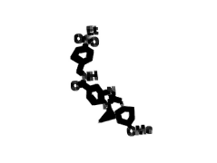 CCS(=O)(=O)c1ccc(CNC(=O)c2ccc3c(c2)nc(C[C@H]2CC[C@H](OC)CC2)n3C2CC2)cc1